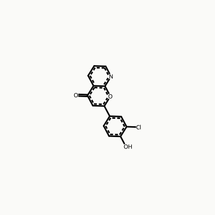 O=c1cc(-c2ccc(O)c(Cl)c2)oc2ncccc12